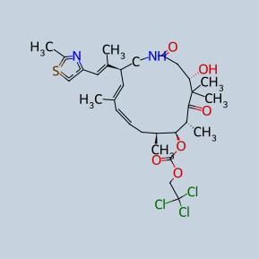 CC(=Cc1csc(C)n1)[C@@H]1/C=C(C)/C=C\C[C@H](C)[C@H](OC(=O)OCC(Cl)(Cl)Cl)[C@@H](C)C(=O)C(C)(C)[C@@H](O)CC(=O)NC1